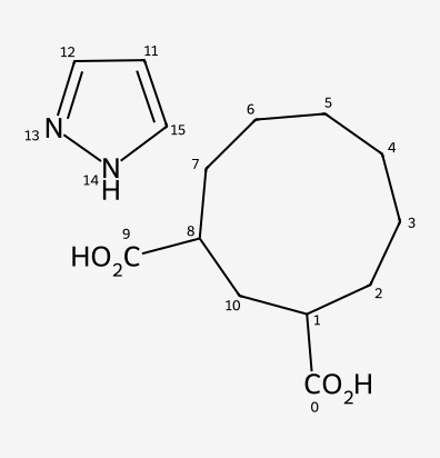 O=C(O)C1CCCCCCC(C(=O)O)C1.c1cn[nH]c1